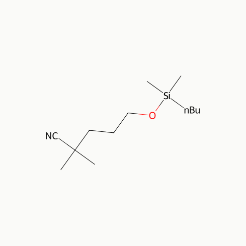 CCCC[Si](C)(C)OCCCC(C)(C)C#N